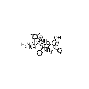 Cc1ccc(S(=O)(=O)NC(CCCNC(=N)N)C(=O)C(N)(C(=O)c2ccccc2)C2=CC(CC(=O)O)C(=O)N(c3ccccc3)CC2)c(C)c1